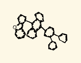 C1=CCCC(c2ccc(-c3c4ccccc4c(-c4cccc5oc6ccccc6c45)c4ccccc34)cc2-c2ccccc2)=C1